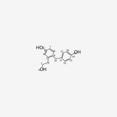 OCCc1cc(O)ccc1Cc1ccc(O)cc1